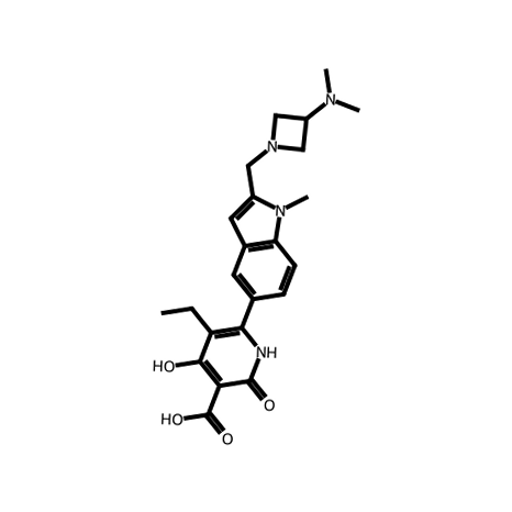 CCc1c(-c2ccc3c(c2)cc(CN2CC(N(C)C)C2)n3C)[nH]c(=O)c(C(=O)O)c1O